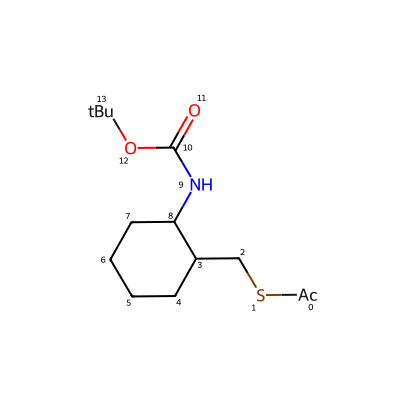 CC(=O)SCC1CCCCC1NC(=O)OC(C)(C)C